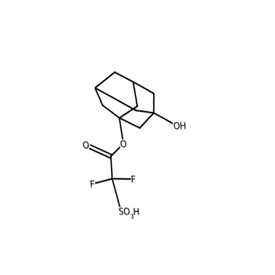 O=C(OC12CC3CC(CC(O)(C3)C1)C2)C(F)(F)S(=O)(=O)O